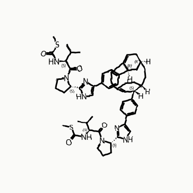 CSC(=O)N[C@H](C(=O)N1CCC[C@H]1c1nc(-c2ccc([C@@H]3C[C@H]4CC=C3CCC3=C[C@@H](c5ccc(-c6c[nH]c([C@@H]7CCCN7C(=O)[C@@H](NC(=O)SC)C(C)C)n6)cc5)[C@H](CC3)CC4)cc2)c[nH]1)C(C)C